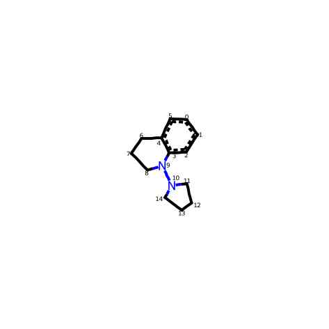 c1ccc2c(c1)CCCN2N1CCCC1